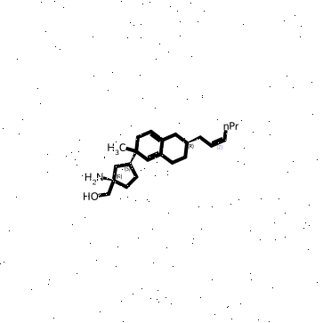 CCC/C=C\C[C@H]1CCC2=CC(C)([C@H]3CC[C@](N)(CO)C3)CC=C2C1